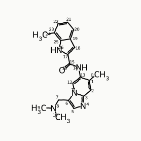 Cc1cc2ncc(CN(C)C)n2cc1NC(=O)c1cc2cccc(C)c2[nH]1